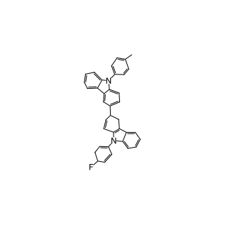 Cc1ccc(-n2c3ccccc3c3cc(C4C=Cc5c(c6ccccc6n5C5=CCC(F)C=C5)C4)ccc32)cc1